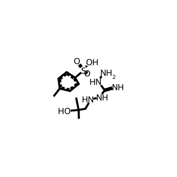 CC(C)(O)CNNC(=N)NN.Cc1ccc(S(=O)(=O)O)cc1